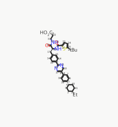 CC[C@H]1CC[C@H](c2ccc(-c3cnc(-c4ccc(C[C@H](NC(=O)c5ccc(C(C)(C)C)s5)C(=O)NCCC(=O)O)cc4)nc3)cc2)CC1